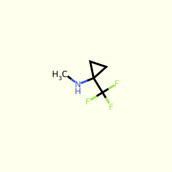 CNC1(C(F)(F)F)CC1